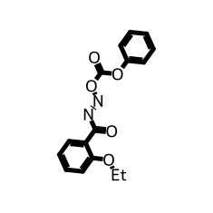 CCOc1ccccc1C(=O)N=NOC(=O)Oc1ccccc1